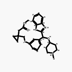 COC(=O)CC1(CSc2cccc(C(OC3CCN(C)CC3)c3nc4ccccc4s3)c2)CC1